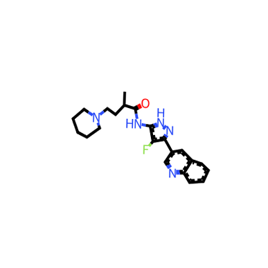 CC(CCN1CCCCC1)C(=O)Nc1[nH]nc(-c2cnc3ccccc3c2)c1F